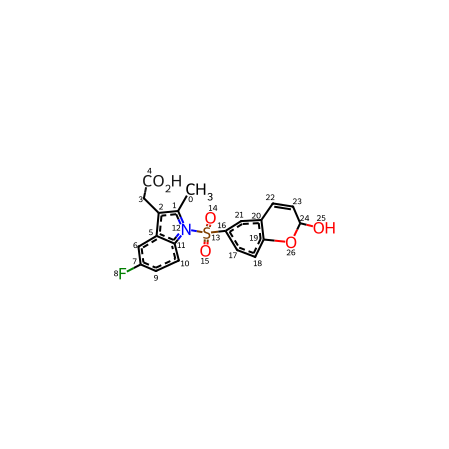 Cc1c(CC(=O)O)c2cc(F)ccc2n1S(=O)(=O)c1ccc2c(c1)C=CC(O)O2